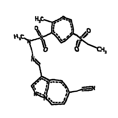 Cc1ccc(S(C)(=O)=O)cc1S(=O)(=O)N(C)N=Cc1cnn2ccc(C#N)cc12